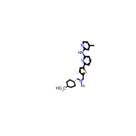 CC(=O)N(Cc1ccc(-c2cccc(Nc3cc(C)ccn3)n2)s1)C[C@H]1CC[C@H](C(=O)O)CC1